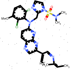 C\C=C(C)/N=C\C(=C/C)c1cnc2ccc(N(Cc3nccn3S(=O)(=O)N(C)C)c3c(Cl)ccc(OC)c3Cl)nc2n1